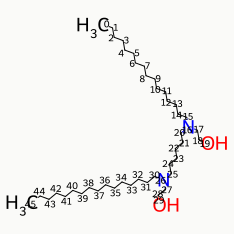 CCCCCCCCCCCCCCCCN(CCO)CCCCCCN(CCO)CCCCCCCCCCCCCCCC